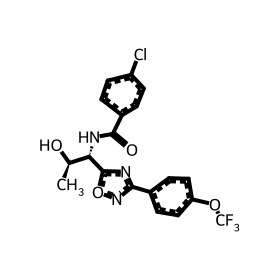 C[C@@H](O)[C@H](NC(=O)c1ccc(Cl)cc1)c1nc(-c2ccc(OC(F)(F)F)cc2)no1